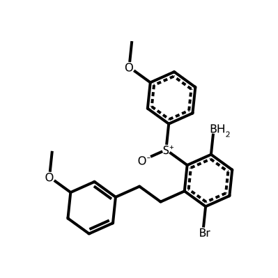 Bc1ccc(Br)c(CCC2=CC(OC)CC=C2)c1[S+]([O-])c1cccc(OC)c1